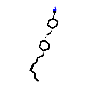 CCC/C=C\CCC[C@H]1CC[C@H](CC[C@H]2CC[C@H](C#N)CC2)CC1